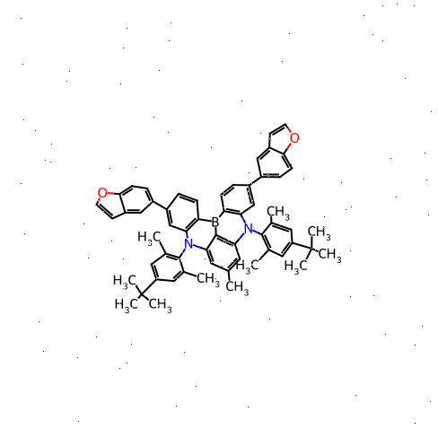 Cc1cc2c3c(c1)N(c1c(C)cc(C(C)(C)C)cc1C)c1cc(-c4ccc5occc5c4)ccc1B3c1ccc(-c3ccc4occc4c3)cc1N2c1c(C)cc(C(C)(C)C)cc1C